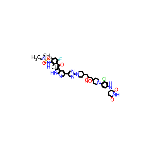 CCN(C)S(=O)(=O)Nc1ccc(F)c(C(=O)c2c[nH]c3ncc(-c4cnc(N5CCC(CC(=O)CC6(O)CCN(c7ccc(N[C@H]8CCC(=O)NC8=O)cc7Cl)CC6)CC5)nc4)cc23)c1C